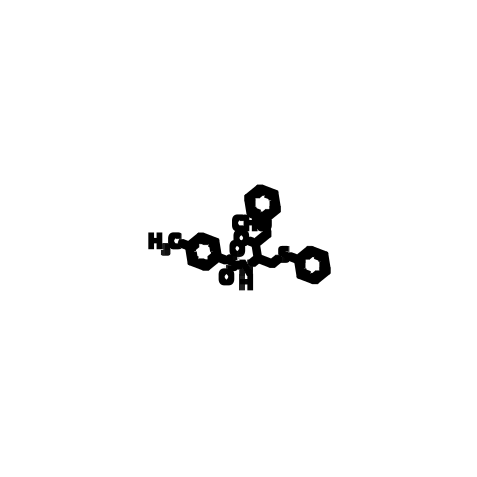 Cc1ccc(S(=O)(=O)NC(CSc2ccccc2)C(Cc2ccccc2)OC=O)cc1